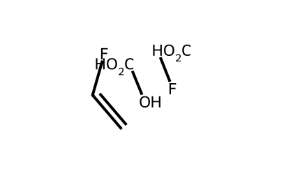 C=CF.O=C(O)F.O=C(O)O